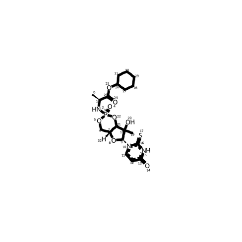 C[C@H](NP1(=O)OC[C@H]2O[C@@H](n3ccc(=O)[nH]c3=S)C(C)(O)C2O1)C(=O)OC1CCCCC1